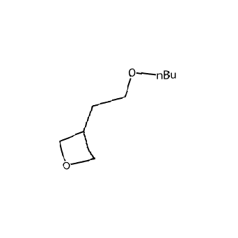 CCCCOCCC1COC1